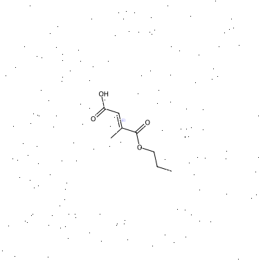 CCCOC(=O)/C(C)=C/C(=O)O